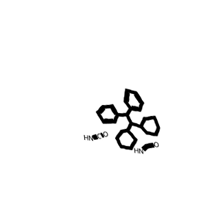 N=C=O.N=C=O.c1ccc(C(c2ccccc2)C(C2CCCCC2)C2CCCCC2)cc1